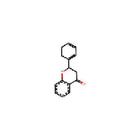 O=C1CC(C2=CC=CCC2)Oc2ccccc21